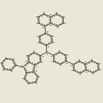 c1ccc(-n2c3ccccc3c3cc(N(c4ccc(-c5ccc6ccccc6c5)cc4)c4ccc(-c5cccc6ccccc56)cc4)ccc32)cc1